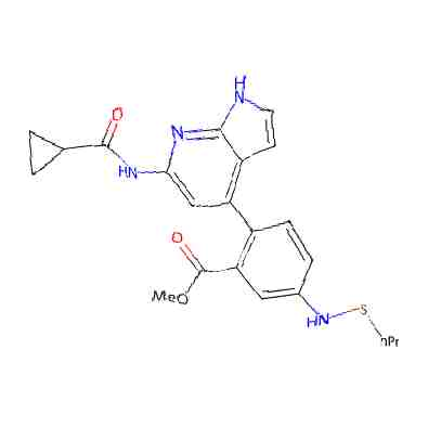 CCCSNc1ccc(-c2cc(NC(=O)C3CC3)nc3[nH]ccc23)c(C(=O)OC)c1